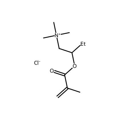 C=C(C)C(=O)OC(CC)C[N+](C)(C)C.[Cl-]